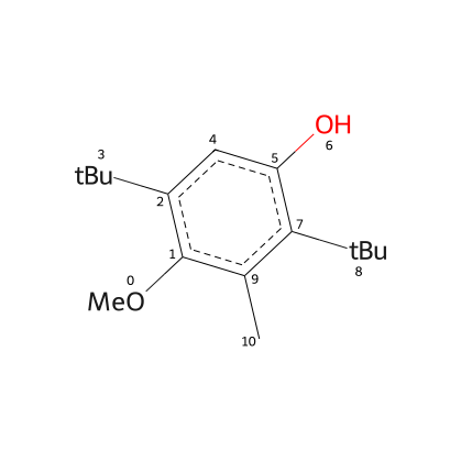 COc1c(C(C)(C)C)cc(O)c(C(C)(C)C)c1C